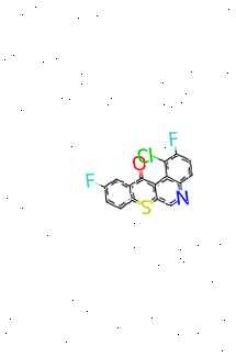 O=c1c2cc(F)ccc2sc2cnc3ccc(F)c(Cl)c3c12